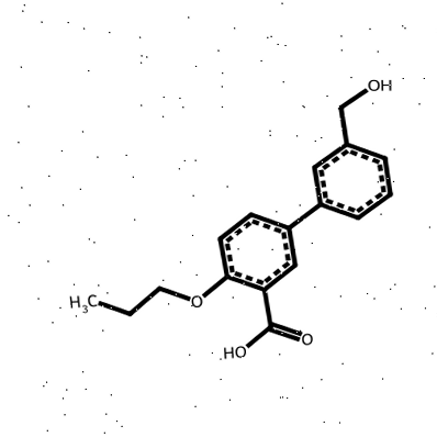 CCCOc1ccc(-c2cccc(CO)c2)cc1C(=O)O